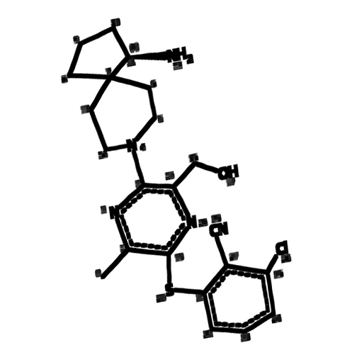 Cc1nc(N2CCC3(CCC[C@H]3N)CC2)c(CO)nc1Sc1cccc(Cl)c1C#N